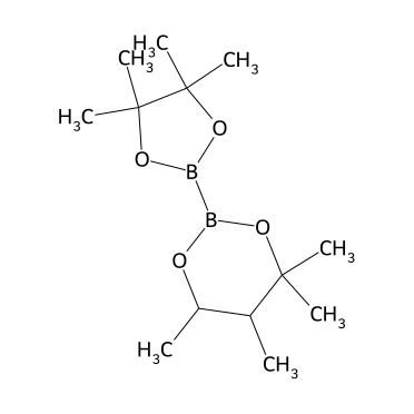 CC1OB(B2OC(C)(C)C(C)(C)O2)OC(C)(C)C1C